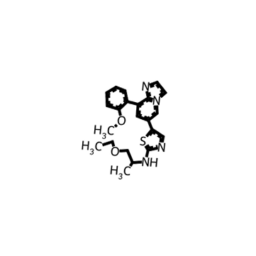 CCOCC(C)Nc1ncc(-c2cc(-c3ccccc3OC)c3nccn3c2)s1